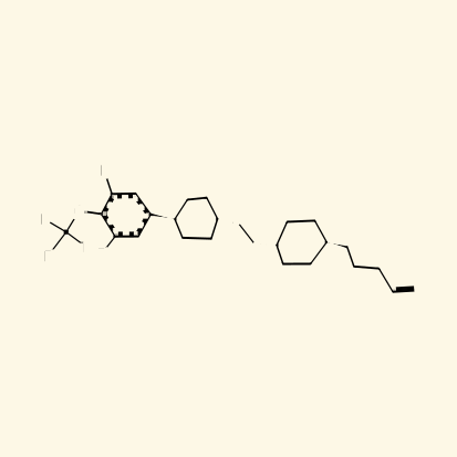 C=CCCC[C@H]1CC[C@H](CC[C@H]2CC[C@H](c3cc(F)c(OC(F)(F)F)c(F)c3)CC2)CC1